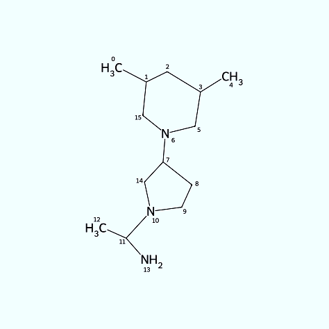 CC1CC(C)CN(C2CCN(C(C)N)C2)C1